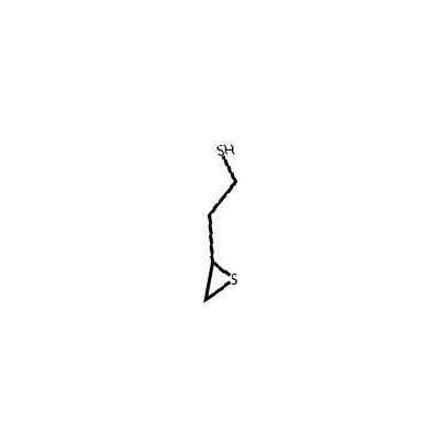 SCCC1CS1